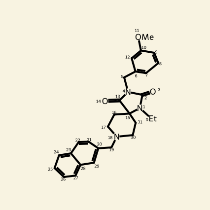 CCN1C(=O)N(Cc2cccc(OC)c2)C(=O)C12CCN(Cc1ccc3ccccc3c1)CC2